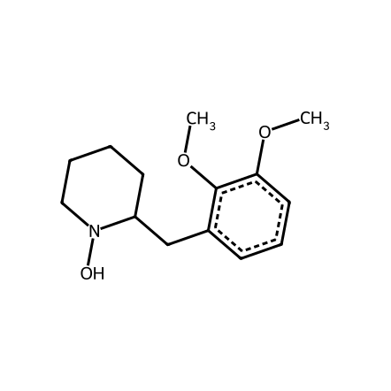 COc1cccc(CC2CCCCN2O)c1OC